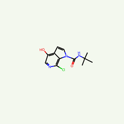 CC(C)(C)NC(=O)n1ccc2c(O)cnc(Cl)c21